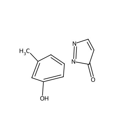 Cc1cccc(O)c1.O=C1C=CN=N1